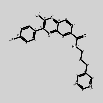 O=C(NCCCc1cncnc1)c1ccc2nc(Cl)c(-c3ccc(F)cc3)nc2c1